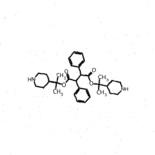 CC(C)(OC(=O)C(c1ccccc1)C(C(=O)OC(C)(C)C1CCNCC1)c1ccccc1)C1CCNCC1